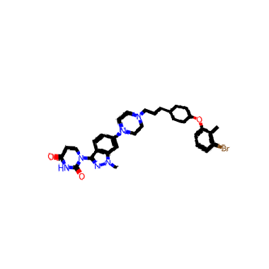 Cc1c(Br)cccc1OC1CCC(CCCN2CCN(c3ccc4c(N5CCC(=O)NC5=O)nn(C)c4c3)CC2)CC1